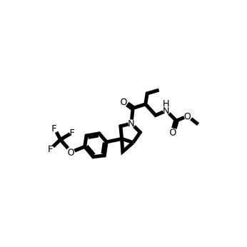 CCC(CNC(=O)OC)C(=O)N1CC2CC2(c2ccc(OC(F)(F)F)cc2)C1